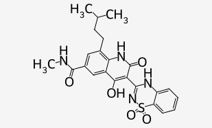 CNC(=O)c1cc(CCC(C)C)c2[nH]c(=O)c(C3=NS(=O)(=O)c4ccccc4N3)c(O)c2c1